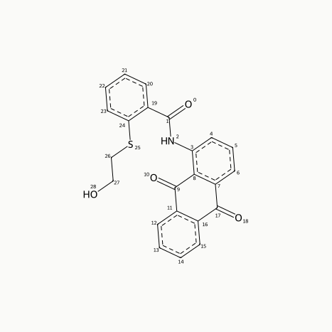 O=C(Nc1cccc2c1C(=O)c1ccccc1C2=O)c1ccccc1SCCO